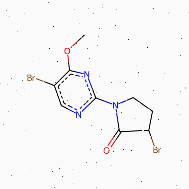 COc1nc(N2CCC(Br)C2=O)ncc1Br